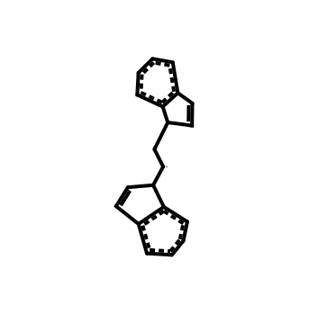 [CH](CC1C=Cc2ccccc21)C1C=Cc2ccccc21